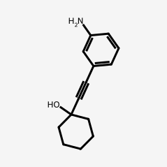 Nc1cccc(C#CC2(O)CCCCC2)c1